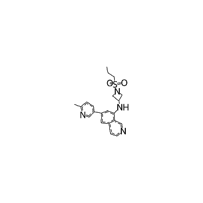 CCCS(=O)(=O)N1CC(Nc2cc(-c3ccc(C)nc3)cc3ccncc23)C1